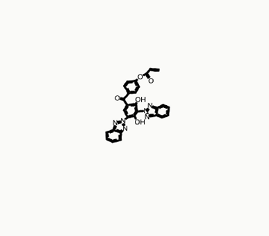 C=CC(=O)Oc1ccc(C(=O)c2cc(-n3nc4ccccc4n3)c(O)c(-n3nc4ccccc4n3)c2O)cc1